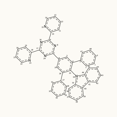 c1ccc(-c2cc(-c3nc(-c4ccccn4)nc(-c4ccccn4)n3)cc(-c3ccccc3)c2-n2c3ccccc3c3ccccc32)cc1